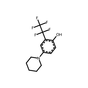 Oc1ccc(N2CCCCC2)cc1C(F)(F)C(F)(F)F